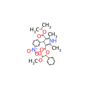 COC(=O)C(OC(=O)C1=C(C)NC(C)=C(C(=O)OC(C)C)C1c1cccc([N+](=O)[O-])c1)c1ccccc1